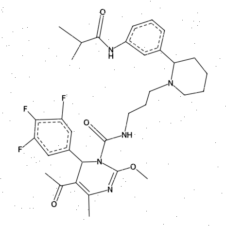 COC1=NC(C)=C(C(C)=O)C(c2cc(F)c(F)c(F)c2)N1C(=O)NCCCN1CCCCC1c1cccc(NC(=O)C(C)C)c1